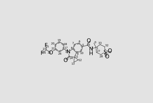 CC1(NC(=O)c2ccc3c(c2)C2(CC2)C(=O)N3c2cccc(OC(F)F)c2)CCS(=O)(=O)CC1